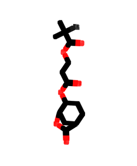 CCC(C)(C)C(=O)OCCC(=O)OC1CCC2CC1OC2=O